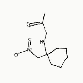 CC(=O)CNC1(C[N+](=O)[O-])CCCCC1